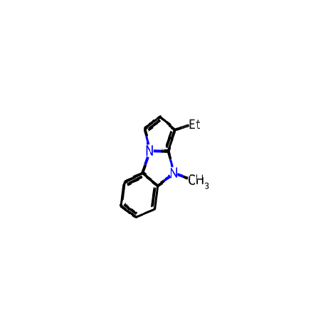 CCc1ccn2c3ccccc3n(C)c12